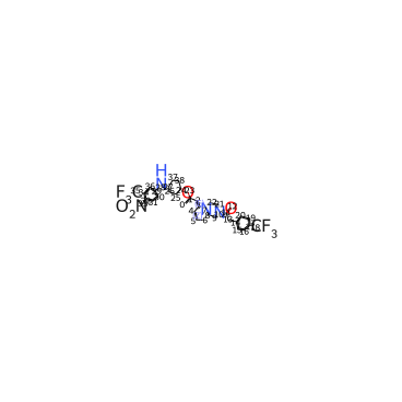 C=C(/C=C(\C=C/C)N1CCN(C(=O)Cc2ccc(C(F)(F)F)cc2)CC1)O[C@H]1CC[C@H](Nc2ccc([N+](=O)[O-])c(C(F)(F)F)c2)CC1